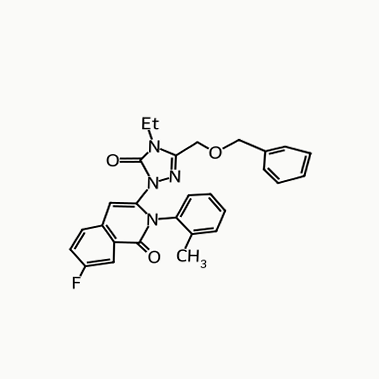 CCn1c(COCc2ccccc2)nn(-c2cc3ccc(F)cc3c(=O)n2-c2ccccc2C)c1=O